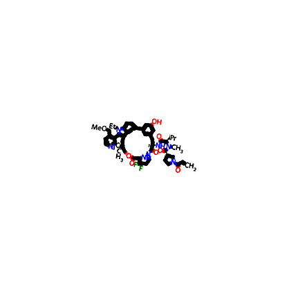 C=CC(=O)N1CC[C@H](C(=O)N(C)[C@H](C(=O)N[C@H]2Cc3cc(O)cc(c3)-c3ccc4c(c3)c(c(-c3cnccc3COC)n4CC)CC(C)(C)COC(=O)[C@H]3NN(CCC3(F)F)C2=O)C(C)C)C1